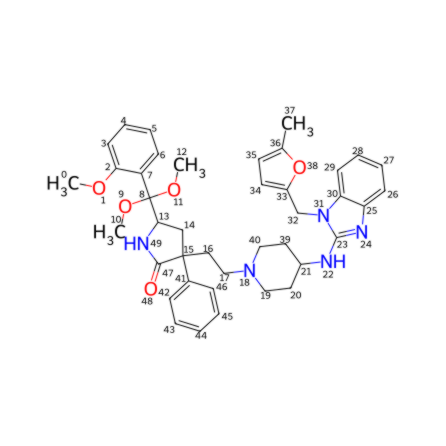 COc1ccccc1C(OC)(OC)C1CC(CCN2CCC(Nc3nc4ccccc4n3Cc3ccc(C)o3)CC2)(c2ccccc2)C(=O)N1